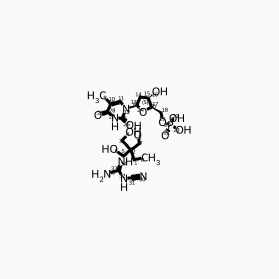 CCC(CO)(CO)CO.Cc1cn([C@H]2C[C@H](O)[C@@H](COP(=O)(O)O)O2)c(=O)[nH]c1=O.N#CNC(=N)N